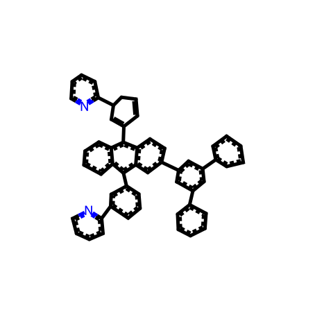 C1=CC(c2c3ccccc3c(-c3cccc(-c4ccccn4)c3)c3cc(-c4cc(-c5ccccc5)cc(-c5ccccc5)c4)ccc23)=CC(c2ccccn2)C1